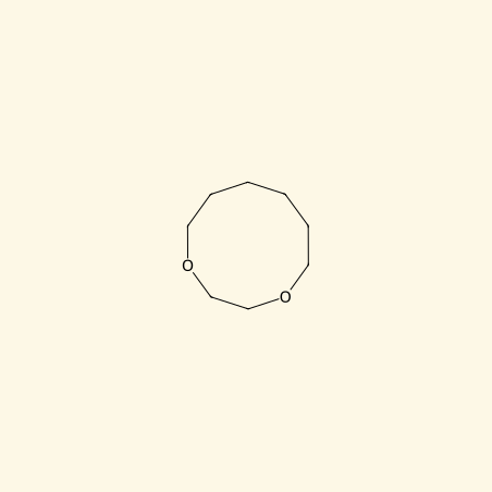 C1CCCOCCOCC1